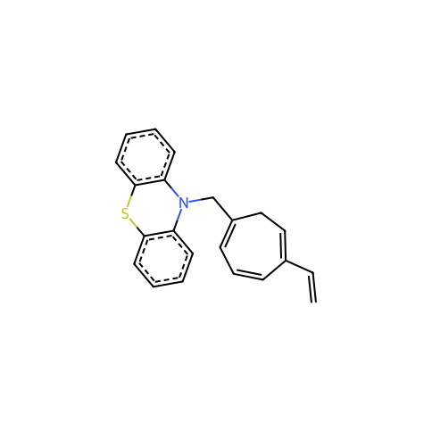 C=CC1=CCC(CN2c3ccccc3Sc3ccccc32)=CC=C1